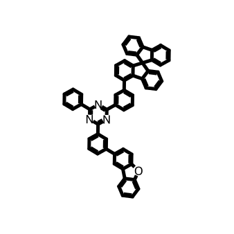 c1ccc(-c2nc(-c3cccc(-c4ccc5oc6ccccc6c5c4)c3)nc(-c3cccc(-c4cccc5c4-c4ccccc4C54c5ccccc5-c5ccccc54)c3)n2)cc1